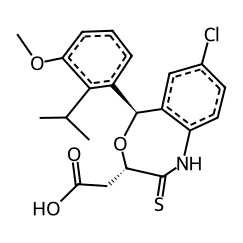 COc1cccc([C@@H]2O[C@@H](CC(=O)O)C(=S)Nc3ccc(Cl)cc32)c1C(C)C